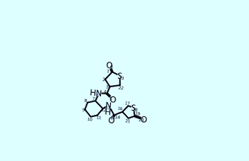 O=C1CC(C(=O)NC2CCCCC2NC(=O)C2CSC(=O)C2)CS1